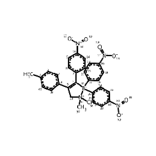 Cc1ccc(C2=C(c3ccc([N+](=O)[O-])cc3)[B-](c3ccc([N+](=O)[O-])cc3)(c3ccc([N+](=O)[O-])cc3)[N+](C)(C)C2)cc1